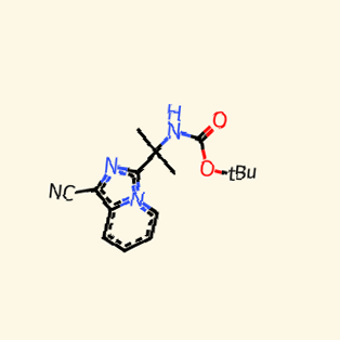 CC(C)(C)OC(=O)NC(C)(C)c1nc(C#N)c2ccccn12